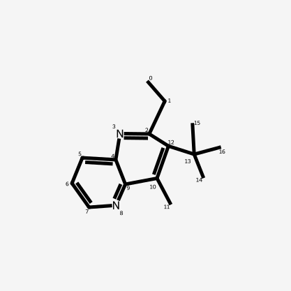 CCc1nc2cccnc2c(C)c1C(C)(C)C